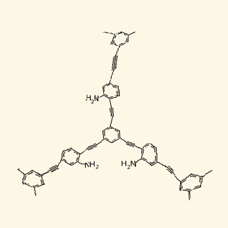 Cc1cc(C)cc(C#Cc2ccc(C#Cc3cc(C#Cc4ccc(C#Cc5cc(C)cc(C)c5)cc4N)cc(C#Cc4ccc(C#Cc5cc(C)cc(C)c5)cc4N)c3)c(N)c2)c1